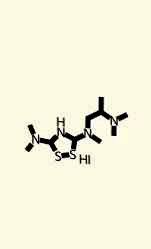 CC(CN(C)C1NC(N(C)C)SS1)N(C)C.I